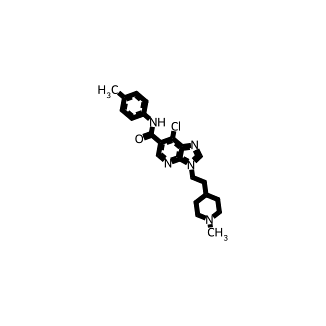 Cc1ccc(NC(=O)c2cnc3c(ncn3CCC3CCN(C)CC3)c2Cl)cc1